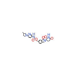 CC1CCN(c2ccc(NC(=O)OCc3ccc4c(c3)C(=O)N(C3CCC(=O)NC3=O)C4)cn2)C1